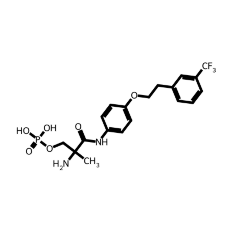 CC(N)(COP(=O)(O)O)C(=O)Nc1ccc(OCCc2cccc(C(F)(F)F)c2)cc1